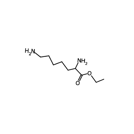 CCOC(=O)C(N)CCCCCN